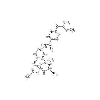 C=CC(C)Oc1cnc(C(=O)Nc2ccc(F)c([C@@]3(C)N=C(N)S[C@@]4(COC)CC43)c2)cn1